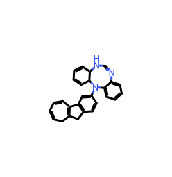 C1=CCC2=C(C=C1)c1cc(N3c4ccccc4/N=C\NC4C=CC=CC43)ccc1C2